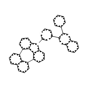 c1ccc(-c2nc3ccccc3nc2-c2ccnc(-n3c4cccc5c4c4c(cccc43)-c3cccc4cccc-5c34)n2)cc1